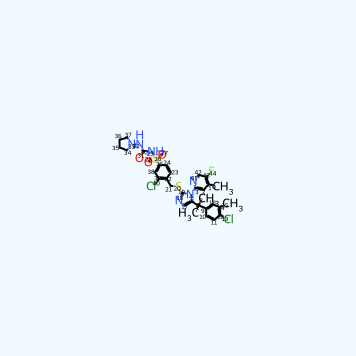 Cc1cc(-n2c(C(C)(C)c3ccc(Cl)c(C)c3)cnc2SCc2ccc(S(=O)(=O)NC(=O)NN3CCCC3)cc2Cl)ncc1F